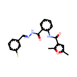 Cc1cc(C(=O)Nc2ccccc2C(=O)N/N=C/c2cccc(F)c2)c(C)o1